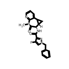 CN1C(=O)[C@@H](NC(=O)c2nn(Cc3ccccc3)cc2F)[C@H]2CC2c2cccnc21